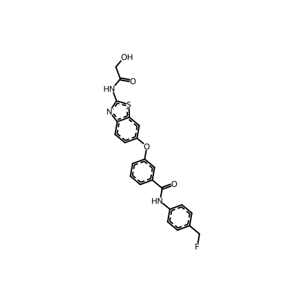 O=C(CO)Nc1nc2ccc(Oc3cccc(C(=O)Nc4ccc(CF)cc4)c3)cc2s1